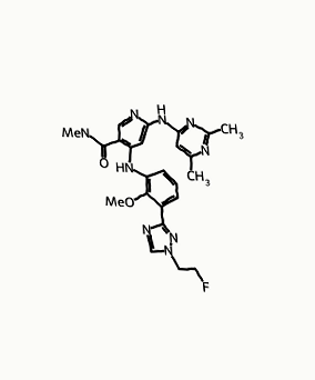 CNC(=O)c1cnc(Nc2cc(C)nc(C)n2)cc1Nc1cccc(-c2ncn(CCF)n2)c1OC